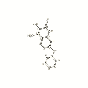 [2H]c1c(C)c2ccc(Oc3ncccn3)cc2oc1=O